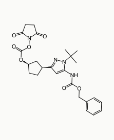 CC(C)(C)n1nc([C@H]2CC[C@@H](OC(=O)ON3C(=O)CCC3=O)C2)cc1NC(=O)OCc1ccccc1